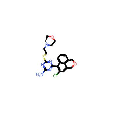 Nc1nc(SCCN2CCOCC2)nc(-c2c(Cl)cc3c4c(cccc24)COC3)n1